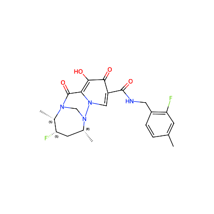 Cc1ccc(CNC(=O)c2cn3c(c(O)c2=O)C(=O)N2CN3[C@H](C)C[C@H](F)[C@@H]2C)c(F)c1